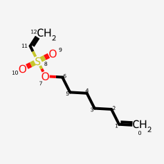 C=CCCCCCOS(=O)(=O)C=C